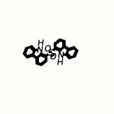 O=S(=O)(c1cccc2c1[nH]c1ccccc12)c1cccc2c1[nH]c1ccccc12